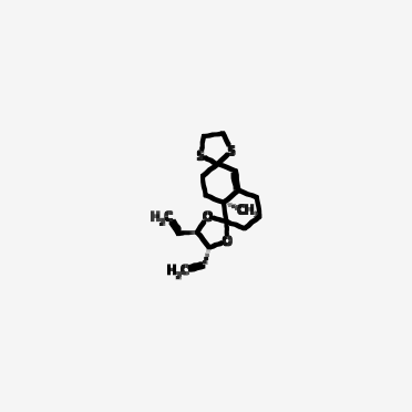 C=C[C@H]1OC2(CCCC3=CC4(CC[C@@]32C)SCCS4)O[C@@H]1C=C